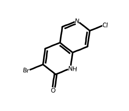 O=c1[nH]c2cc(Cl)ncc2cc1Br